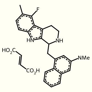 CNc1cc(CC2NCCc3c2[nH]c2ccc(C)c(F)c32)c2ccccc2c1.O=C(O)C=CC(=O)O